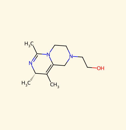 CC1=N[C@@H](C)C(C)=C2CN(CCO)CCN12